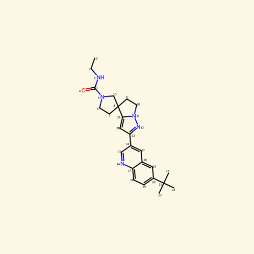 CCNC(=O)N1CCC2(CCn3nc(-c4cnc5ccc(C(C)(C)C)cc5c4)cc32)C1